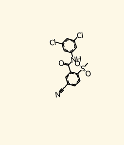 CS(=O)(=O)c1ccc(C#N)cc1C(=O)Nc1cc(Cl)cc(Cl)c1